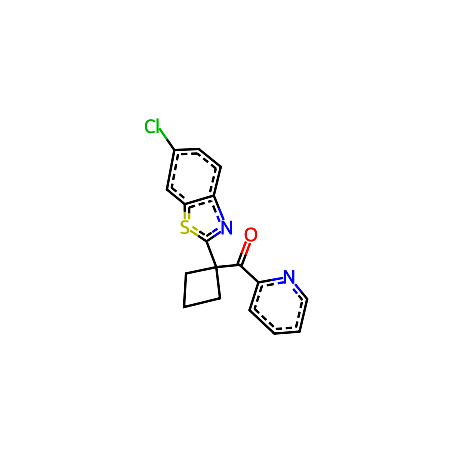 O=C(c1ccccn1)C1(c2nc3ccc(Cl)cc3s2)CCC1